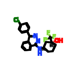 O[C@]1(C(F)(F)F)CCC[C@H](Nc2nnc(-c3ccc(Cl)cc3)c3ccccc23)C1